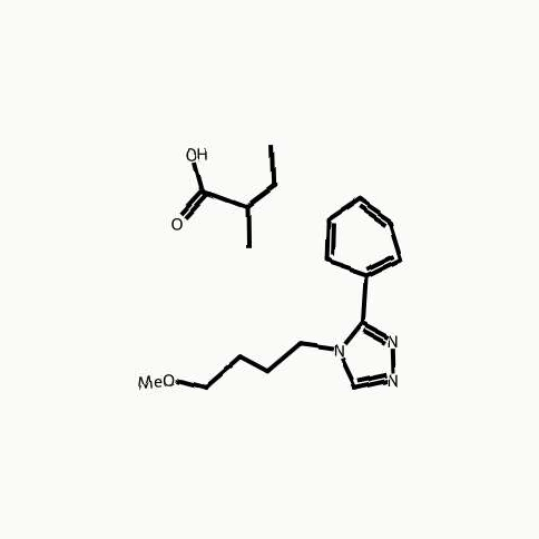 CCC(C)C(=O)O.COCCCCn1cnnc1-c1ccccc1